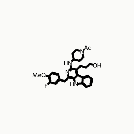 COc1ccc(Cc2nc(NC3CCN(C(C)=O)CC3)c(CCCO)c3c2[nH]c2ccccc23)cc1F